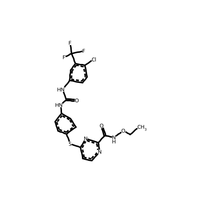 CCONC(=O)c1nccc(Sc2ccc(NC(=O)Nc3ccc(Cl)c(C(F)(F)F)c3)cc2)n1